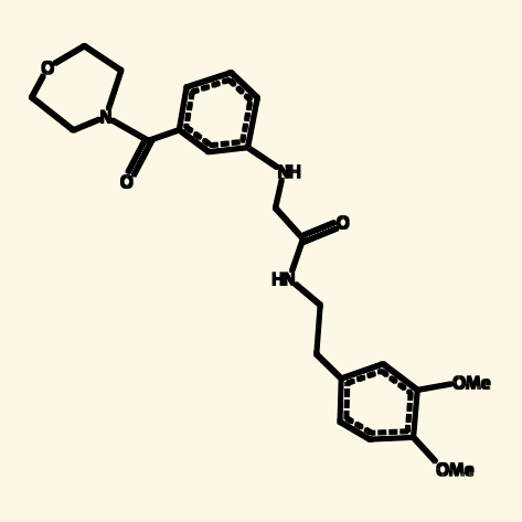 COc1ccc(CCNC(=O)CNc2cccc(C(=O)N3CCOCC3)c2)cc1OC